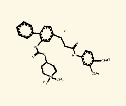 COc1cc(NC(=O)CCc2ccc(-c3ccccc3)c(NC(=O)OC3CC[N+](C)(C)CC3)c2)ccc1C=O.[I-]